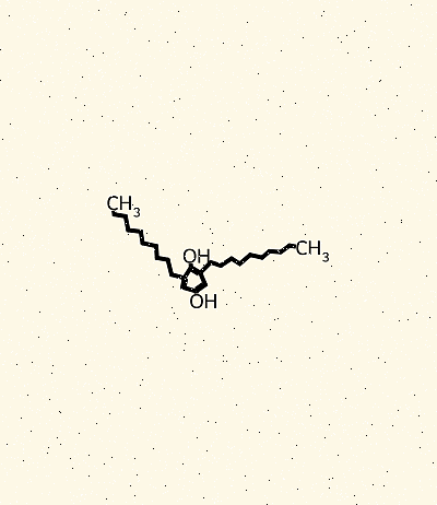 CCCCCCCCCCc1cc(O)cc(CCCCCCCCCC)c1O